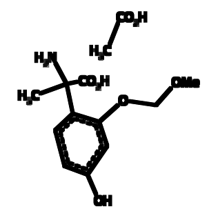 CC(=O)O.COCOc1cc(O)ccc1C(C)(N)C(=O)O